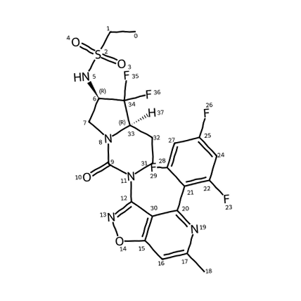 CCS(=O)(=O)N[C@@H]1CN2C(=O)N(c3noc4cc(C)nc(-c5c(F)cc(F)cc5F)c34)CC[C@@H]2C1(F)F